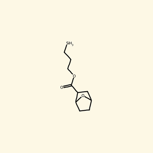 O=C(OCCC[SiH3])C1CC2CCC1O2